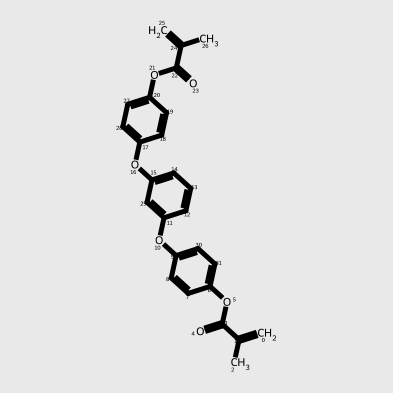 C=C(C)C(=O)Oc1ccc(Oc2cccc(Oc3ccc(OC(=O)C(=C)C)cc3)c2)cc1